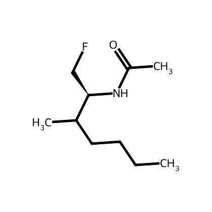 CCCCC(C)[C@@H](CF)NC(C)=O